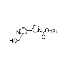 CC(C)(C)OC(=O)N1CC=C(c2ccnc(CO)c2)C1